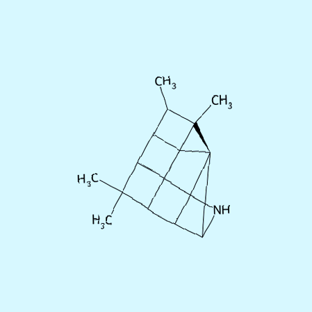 CC1C2C3C(C)(C)C4C5C6NC57C43C23C1(C)[C@@]673